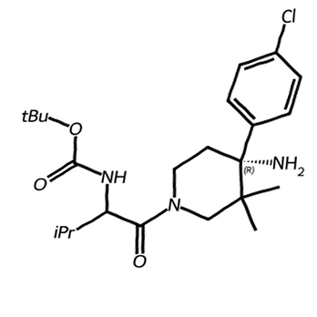 CC(C)C(NC(=O)OC(C)(C)C)C(=O)N1CC[C@@](N)(c2ccc(Cl)cc2)C(C)(C)C1